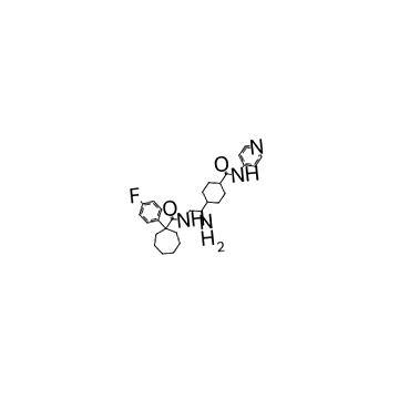 NC(CNC(=O)C1(c2ccc(F)cc2)CCCCCC1)C1CCC(C(=O)Nc2ccncc2)CC1